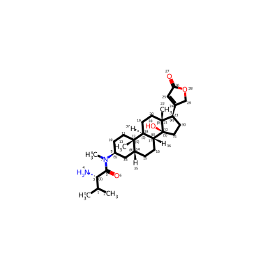 CC(C)[C@H](N)C(=O)N(C)[C@H]1CC[C@@]2(C)[C@H](CC[C@@H]3[C@@H]2CC[C@]2(C)[C@@H](C4=CC(=O)OC4)CC[C@]32O)C1